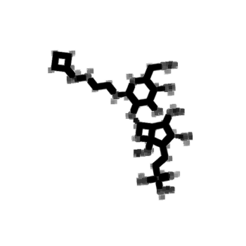 CCC1C(O[C@H]2OC3(OC)C2C(OC)[C@H](O)C3CCP(=O)(O)OC)[C@@H](OCCONC2CCC2)OC(COC)[C@H]1O